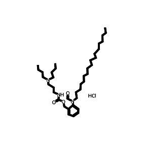 CCCCCCCCCCCCCCCCCCN(C=O)c1ccccc1COC(=O)NCCCN(CCCC)CCCC.Cl